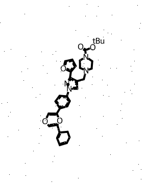 CC(C)(C)OC(=O)N1CCN(Cc2cn(-c3ccc(C4=COC=C(C5=CC=CCC5)O4)cc3)nc2-c2ccco2)CC1